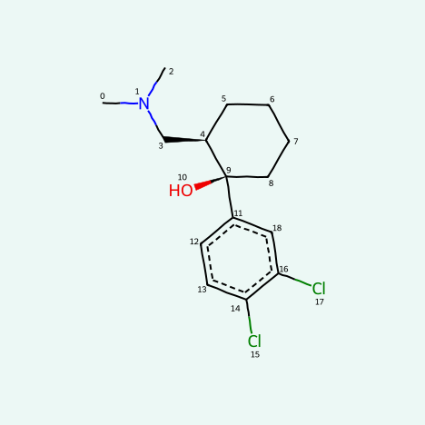 CN(C)C[C@H]1CCCC[C@]1(O)c1ccc(Cl)c(Cl)c1